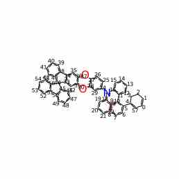 C1=CCCC(c2ccccc2-c2ccccc2N(c2ccccc2)c2ccc3c(c2)Oc2cc4c(cc2O3)-c2ccccc2C42c3ccccc3-c3ccccc32)=C1